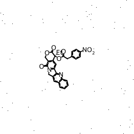 CC[C@@]1(OC(=O)Cc2ccc([N+](=O)[O-])cc2)C(=O)OCc2c1cc1n(c2=O)Cc2cc3ccccc3nc2-1